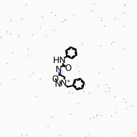 O=C(/N=C1\C[N+](Cc2ccccc2)=NO1)Nc1ccccc1